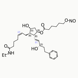 CCNC(=O)CCC/C=C\C[C@@H]1[C@@H](/C=C/[C@@H](O)CCc2ccccc2)[C@H](OC(=O)CCCCCON=O)C[C@@H]1O